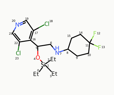 CC[Si](CC)(CC)OC(CNC1CCC(F)(F)CC1)c1c(Cl)cncc1Cl